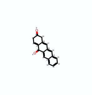 O=C1CC=C2C(=O)c3cc4ccccc4cc3C=C2C1